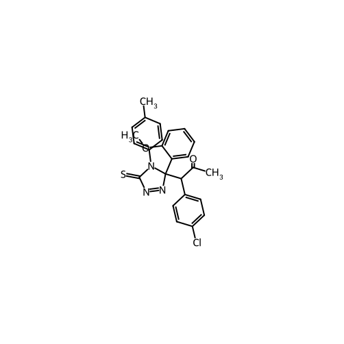 COc1ccccc1C1(C(C(C)=O)c2ccc(Cl)cc2)N=NC(=S)N1c1ccc(C)cc1